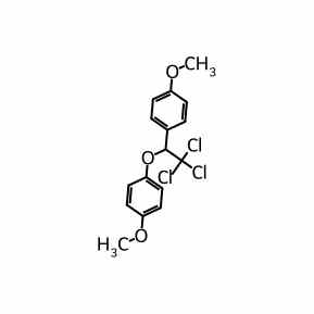 COc1ccc(OC(c2ccc(OC)cc2)C(Cl)(Cl)Cl)cc1